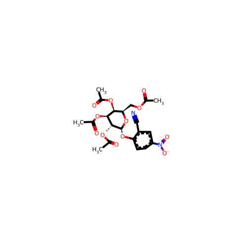 CC(=O)OC[C@H]1O[C@H](Oc2ccc([N+](=O)[O-])cc2C#N)[C@H](OC(C)=O)[C@@H](OC(C)=O)[C@H]1OC(C)=O